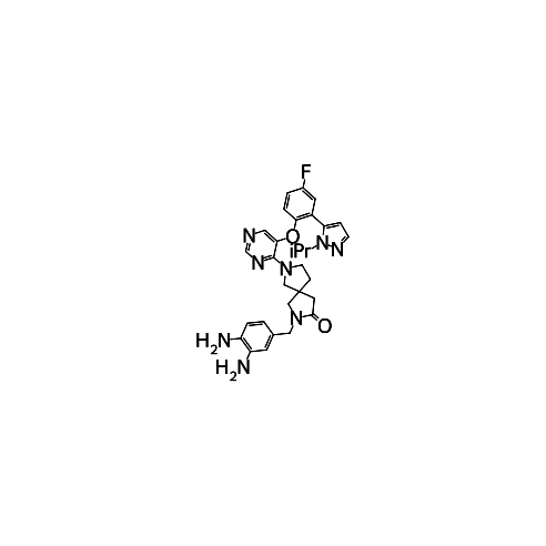 CC(C)n1nccc1-c1cc(F)ccc1Oc1cncnc1N1CCC2(CC(=O)N(Cc3ccc(N)c(N)c3)C2)C1